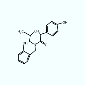 CC(C)CN(Cc1ccccc1O)C(=O)Cc1ccc(O)cc1